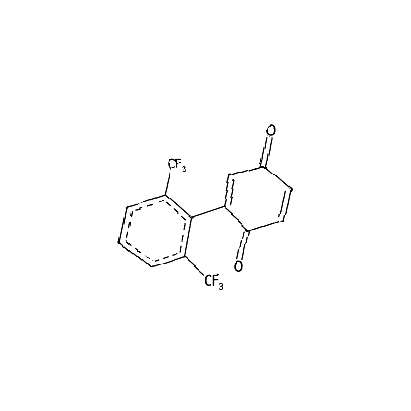 O=C1C=CC(=O)C(c2c(C(F)(F)F)cccc2C(F)(F)F)=C1